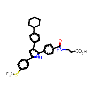 O=C(O)CCNC(=O)c1ccc(-c2[nH]c(-c3ccc(SC(F)(F)F)cc3)cc2-c2ccc(C3CCCCC3)cc2)cc1